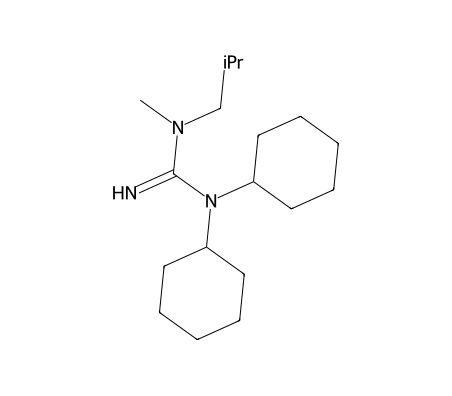 CC(C)CN(C)C(=N)N(C1CCCCC1)C1CCCCC1